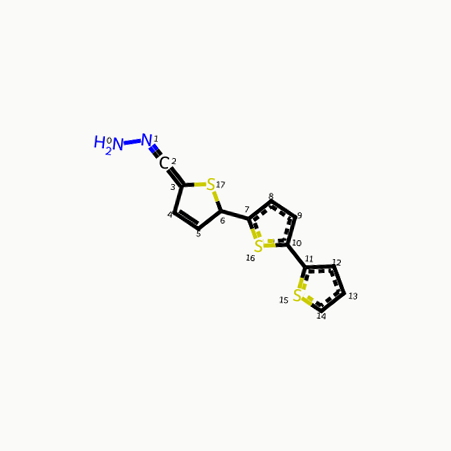 NN=C=C1C=CC(c2ccc(-c3cccs3)s2)S1